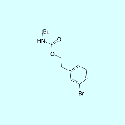 CC(C)(C)NC(=O)OCCc1cccc(Br)c1